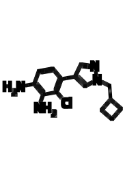 Nc1ccc(-c2cnn(CC3CCC3)c2)c(Cl)c1N